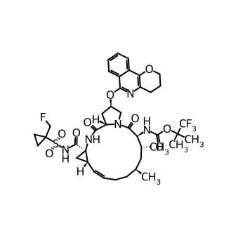 C[C@H]1CC/C=C\[C@@H]2C[C@@]2(C(=O)NS(=O)(=O)C2(CF)CC2)NC(=O)[C@@H]2C[C@@H](Oc3nc4c(c5ccccc35)OCCC4)CN2C(=O)[C@@H](NC(=O)OC(C)(C)C(F)(F)F)[C@H](C)C1